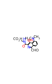 CN(C)c1cccc2c(C=O)nc(C(=O)NCC(=O)O)c(O)c12